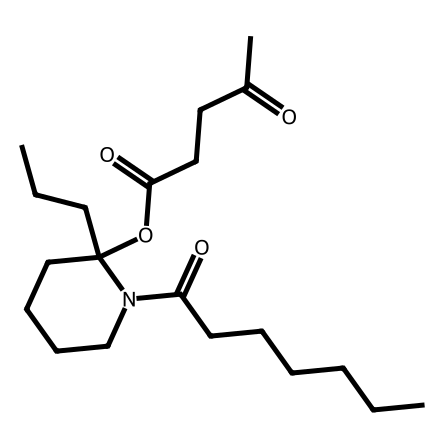 CCCCCCC(=O)N1CCCCC1(CCC)OC(=O)CCC(C)=O